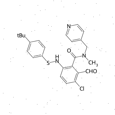 CN(Cc1ccncc1)C(=O)c1c(NSc2ccc(C(C)(C)C)cc2)ccc(Cl)c1C=O